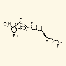 CC(F)CC(F)CC(F)C#CC(F)CC(F)CC(F)CCOC(=O)Oc1c([N+](=O)[O-])cc(C(C)(C)C)cc1[N+](=O)[O-]